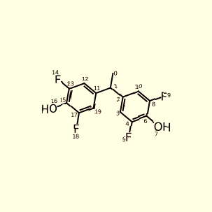 CC(c1cc(F)c(O)c(F)c1)c1cc(F)c(O)c(F)c1